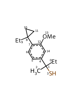 CCC(C)(S)c1ccc(C2(CC)CC2)c(OC)c1